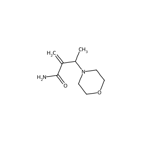 C=C(C(N)=O)C(C)N1CCOCC1